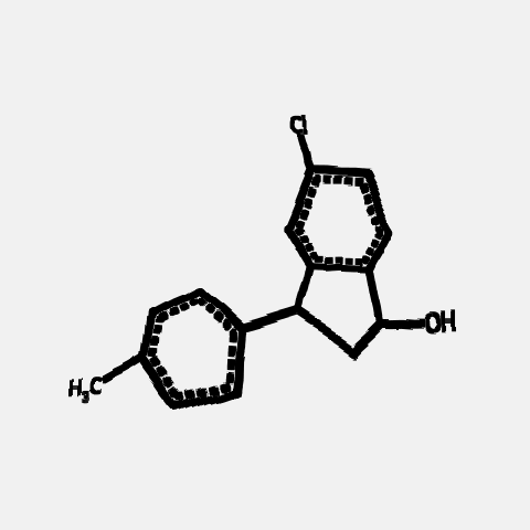 Cc1ccc(C2CC(O)c3ccc(Cl)cc32)cc1